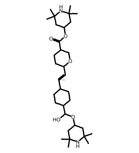 CC1(C)CC(OC(=O)C2CCC(/C=C/C3CCC(C(O)OC4CC(C)(C)NC(C)(C)C4)CC3)OC2)CC(C)(C)N1